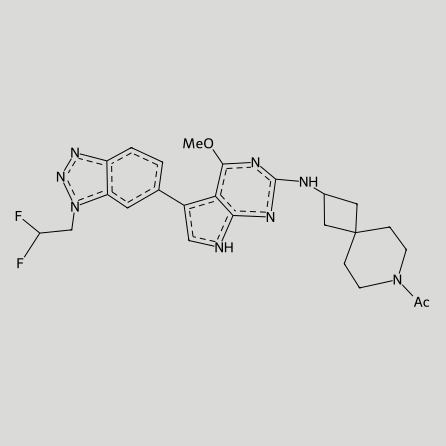 COc1nc(NC2CC3(CCN(C(C)=O)CC3)C2)nc2[nH]cc(-c3ccc4nnn(CC(F)F)c4c3)c12